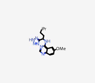 COc1ccc2ncnc(NC(CCC(C)C)c3nn[nH]n3)c2c1